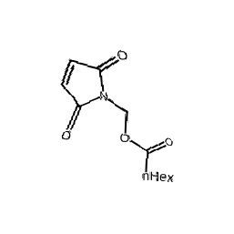 CCCCCCC(=O)OCN1C(=O)C=CC1=O